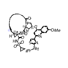 COc1ccc2c(O[C@@H]3C[C@H]4C(=O)N[C@]5(C(=O)NS(=O)(=O)C6CC6)C[C@H]5/C=C\CCCCCCC(=O)N4C3)cc(-c3csc(NC(C)C)n3)nc2c1